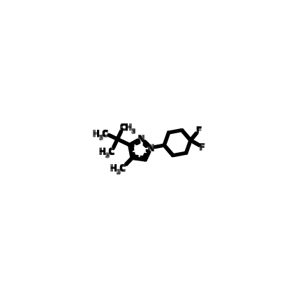 Cc1cn(C2CCC(F)(F)CC2)nc1C(C)(C)C